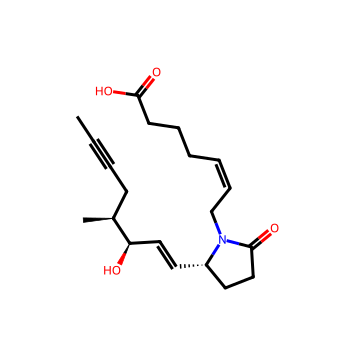 CC#CC[C@H](C)[C@H](O)/C=C/[C@H]1CCC(=O)N1C/C=C\CCCC(=O)O